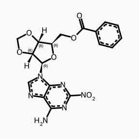 Nc1nc([N+](=O)[O-])nc2c1ncn2[C@@H]1O[C@H](COC(=O)c2ccccc2)[C@H]2OCO[C@H]21